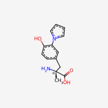 C[C@@](N)(Cc1ccc(O)c(-n2cccc2)c1)C(=O)O